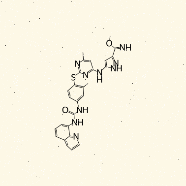 COC(=N)c1cc(Nc2cc(C)nc(Sc3ccc(NC(=O)Nc4cccc5cccnc45)cc3C)n2)[nH]n1